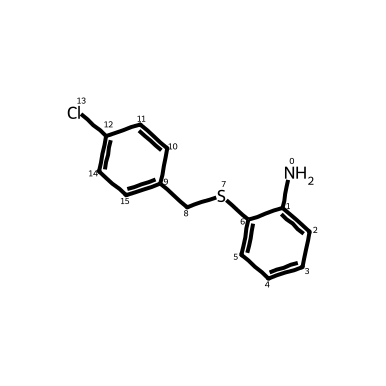 Nc1ccccc1SCc1ccc(Cl)cc1